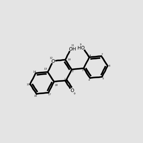 O=c1c(-c2ccccc2O)c(O)oc2ccccc12